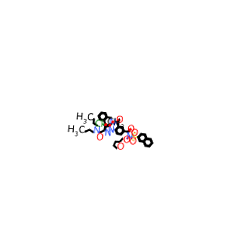 CCCCN(CCCC)C(=O)c1nn(-c2ccc(C(=O)N(OCC3CCCO3)S(=O)(=O)c3ccc4ccccc4c3)cc2C(=O)N2CCc3ccccc3C2)c(C)c1Cl